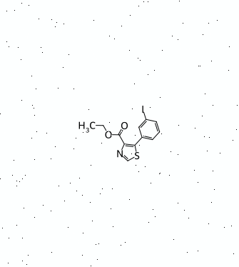 CCOC(=O)c1ncsc1-c1cccc(I)c1